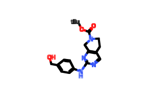 CC(C)(C)OC(=O)N1CCc2cnc(Nc3ccc(CO)cc3)nc2C1